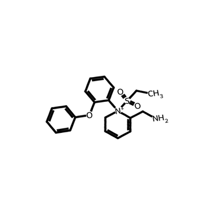 CCS(=O)(=O)[N+]1(c2ccccc2Oc2ccccc2)CC=CC=C1CN